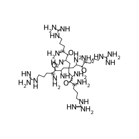 N=C(N)NCCC[C@H](N)C(=O)C(N)CC(CC(N)C(=O)[C@@H](N)CCCNC(=N)N)(CC(N)C(=O)[C@@H](N)CCCNC(=N)N)CC(N)C(=O)[C@@H](N)CCCNC(=N)N